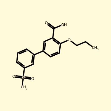 CCCOc1ccc(-c2cccc(S(C)(=O)=O)c2)cc1C(=O)O